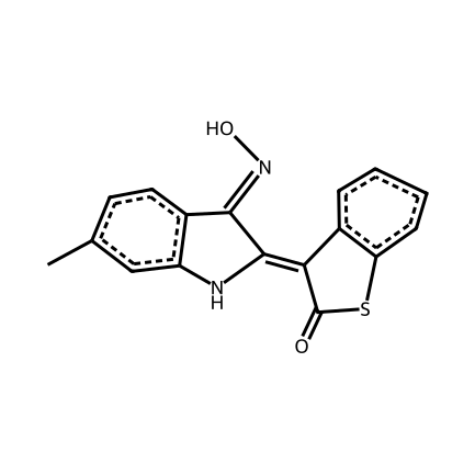 Cc1ccc2c(c1)NC(=C1\C(=O)Sc3ccccc31)/C2=N/O